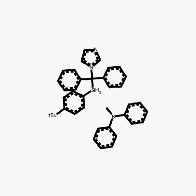 CB(c1ccccc1)c1ccccc1.CC(C)(C)c1ccc([SiH2]C(c2ccccc2)(c2ccccc2)n2ccnc2)cc1